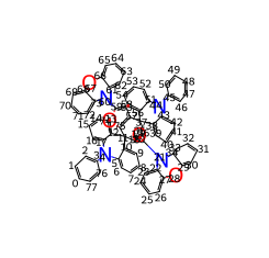 c1ccc(N2c3ccccc3C3(c4ccccc42)c2cc(N4c5ccccc5Oc5ccccc54)oc2C2(c4ccccc4N(c4ccccc4)c4ccccc42)c2cc(N4c5ccccc5Oc5ccccc54)oc23)cc1